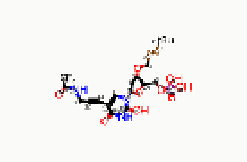 CC(C)(C)SSCOC1C[C@H](N2C=C(C#CCNC(=O)C(F)(F)F)C(=O)NC2O)O[C@@H]1COP(=O)(O)O